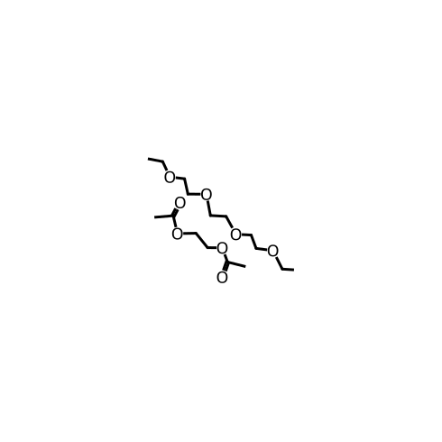 CC(=O)OCCOC(C)=O.CCOCCOCCOCCOCC